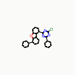 Clc1nc(-c2ccccc2)nc(-c2cccc3oc4c(-c5ccccc5)cccc4c23)n1